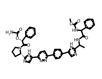 COC(=O)NC(C(=O)NC(C)c1ncc(-c2ccc(-c3ccc(-c4cnc([C@@H]5CCCN5C(=O)[C@H](OC(N)=O)c5ccccc5)[nH]4)nn3)cc2)[nH]1)c1ccccc1